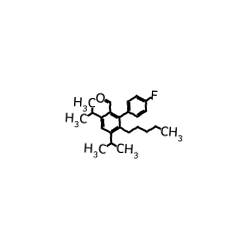 CCCCCc1c(C(C)C)cc(C(C)C)c(C=O)c1-c1ccc(F)cc1